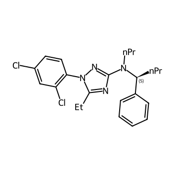 CCC[C@@H](c1ccccc1)N(CCC)c1nc(CC)n(-c2ccc(Cl)cc2Cl)n1